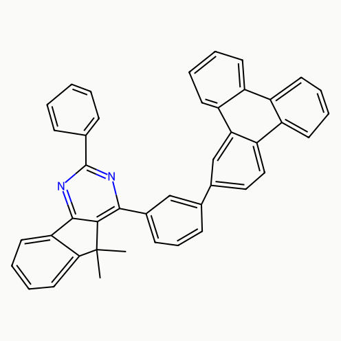 CC1(C)c2ccccc2-c2nc(-c3ccccc3)nc(-c3cccc(-c4ccc5c6ccccc6c6ccccc6c5c4)c3)c21